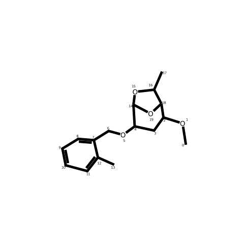 COC1CC(OCc2ccccc2C)C2OC(C)C1O2